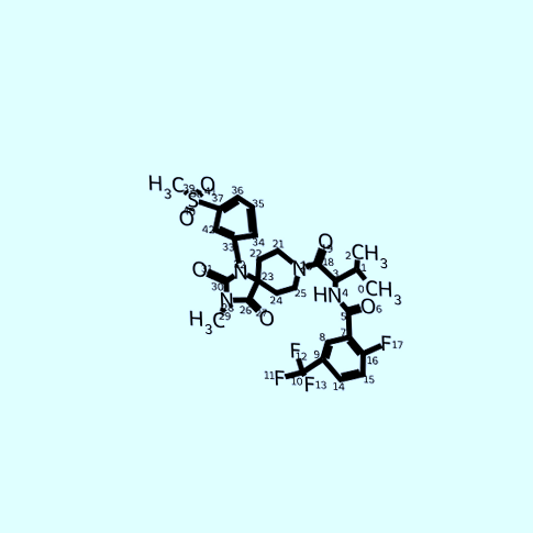 CC(C)C(NC(=O)c1cc(C(F)(F)F)ccc1F)C(=O)N1CCC2(CC1)C(=O)N(C)C(=O)N2c1cccc(S(C)(=O)=O)c1